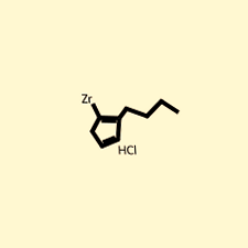 CCCCC1=[C]([Zr])CC=C1.Cl